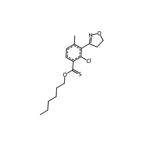 CCCCCCOC(=S)c1ccc(C)c(C2=NOCC2)c1Cl